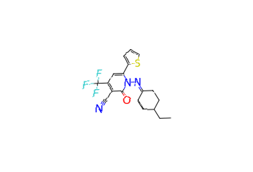 CCC1CCC(=Nn2c(-c3cccs3)cc(C(F)(F)F)c(C#N)c2=O)CC1